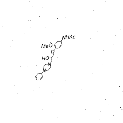 COc1cc(NC(C)=O)ccc1OCC(O)CN1CCN(c2ccccc2)CC1